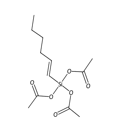 CCCCC=C[Si](OC(C)=O)(OC(C)=O)OC(C)=O